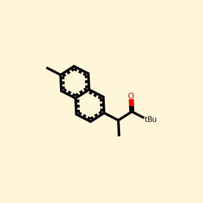 Cc1ccc2cc(C(C)C(=O)C(C)(C)C)ccc2c1